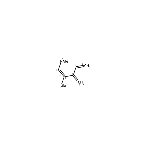 C=CC(=C)/C(=C\NC)C(C)(C)C